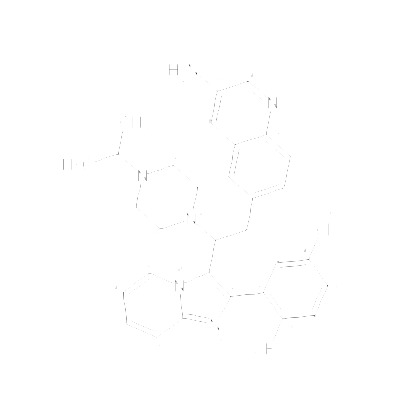 CC(C)N1CCN(C(Cc2ccc3ncc(N)cc3c2)c2c(-c3cc(Cl)ccc3F)nc3ccccn23)CC1